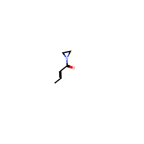 CC=CC(=O)N1CC1